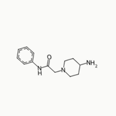 NC1CCN(CC(=O)Nc2ccccc2)CC1